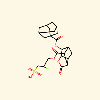 O=C1OC2C3CC(C2OC(=O)C24CC5CC(CC(C5)C2)C4)C(C(=O)OCC(F)CS(=O)(=O)O)C13